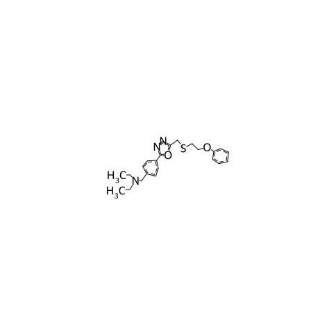 CCN(CC)Cc1ccc(-c2nnc(CSCCOc3ccccc3)o2)cc1